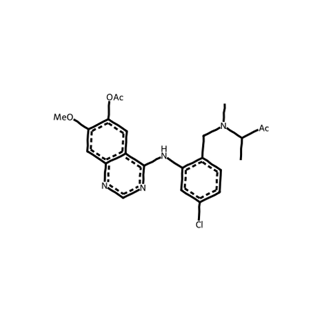 COc1cc2ncnc(Nc3cc(Cl)ccc3CN(C)C(C)C(C)=O)c2cc1OC(C)=O